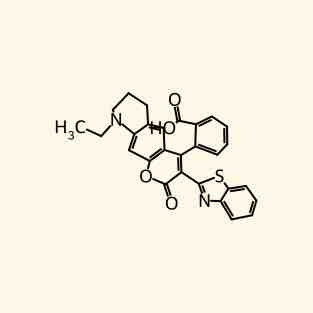 CCN1CCCc2cc3c(-c4ccccc4C(=O)O)c(-c4nc5ccccc5s4)c(=O)oc3cc21